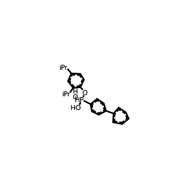 CC(C)c1ccc(O[PH](O)(O)c2ccc(-c3ccccc3)cc2)c(C(C)C)c1